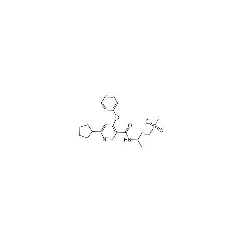 CC(/C=C/S(C)(=O)=O)NC(=O)c1cnc(C2CCCC2)cc1Oc1ccccc1